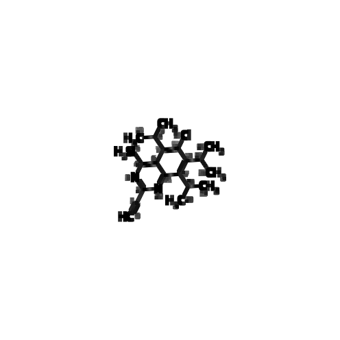 C#Cc1nc([SiH3])c2c(C(C)C)c(Cl)c(C(C)C)c(C(C)C)c2n1